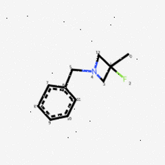 CC1(F)CN(Cc2ccccc2)C1